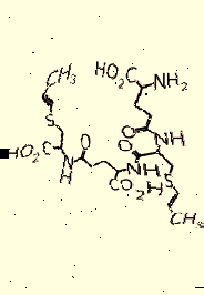 CC=CSCC(NC(=O)CCC(NC(=O)C(CSC=CC)NC(=O)CCC(N)C(=O)O)C(=O)O)C(=O)O